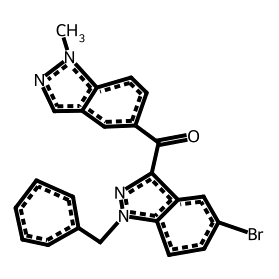 Cn1ncc2cc(C(=O)c3nn(Cc4ccccc4)c4ccc(Br)cc34)ccc21